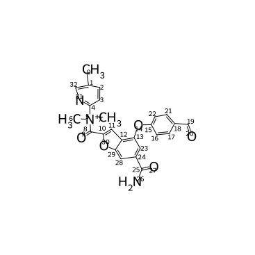 Cc1ccc([N+](C)(C)C(=O)c2cc3c(Oc4ccc(C=O)cc4)cc(C(N)=O)cc3o2)nc1